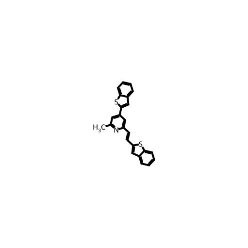 Cc1cc(-c2cc3ccccc3s2)cc(C=Cc2cc3ccccc3s2)n1